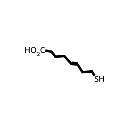 O=C(O)CCCC=CCCS